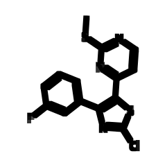 CSc1nccc(-c2sc(Cl)nc2-c2cccc(F)c2)n1